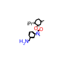 CC(C)[C@@H]1CC[C@@H](C)C[C@H]1OC(=O)N(C)c1cccc(CN)c1